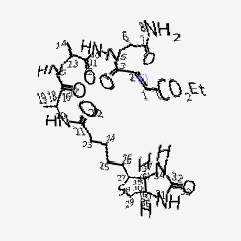 CCOC(=O)/C=C/C(=O)N(CC(N)=O)NC(=O)C(C)NC(=O)C(C)NC(=O)CCCCC1SC[C@@H]2NC(=O)N[C@H]12